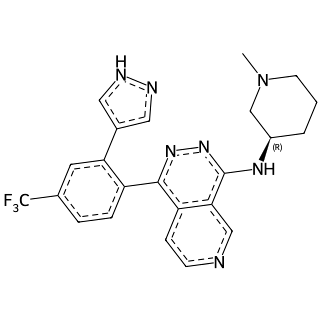 CN1CCC[C@@H](Nc2nnc(-c3ccc(C(F)(F)F)cc3-c3cn[nH]c3)c3ccncc23)C1